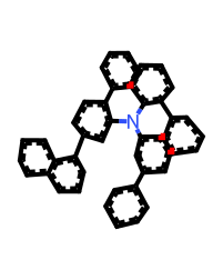 c1ccc(-c2cccc(N(c3ccccc3-c3ccccc3)c3cc(-c4cccc5ccccc45)ccc3-c3ccccc3)c2)cc1